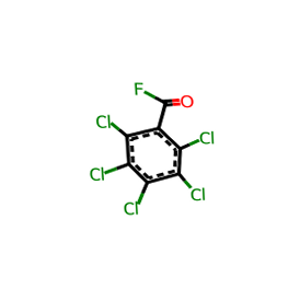 O=C(F)c1c(Cl)c(Cl)c(Cl)c(Cl)c1Cl